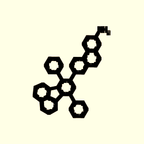 Nc1ccc2c(ccc3cc(-c4cc(-c5ccccc5)c5c(c4-c4ccccc4)-c4cccc6cccc-5c46)ccc32)c1